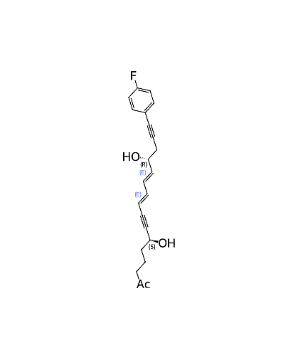 CC(=O)CCC[C@H](O)C#C/C=C/C=C/[C@H](O)CC#Cc1ccc(F)cc1